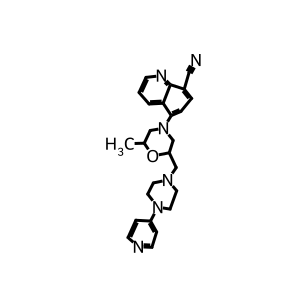 CC1CN(c2ccc(C#N)c3ncccc23)CC(CN2CCN(c3ccncc3)CC2)O1